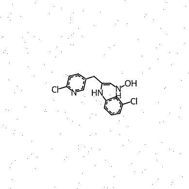 ON/C=C(/Cc1ccc(Cl)nc1)Nc1cccc(Cl)c1